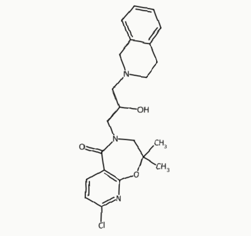 CC1(C)CN(CC(O)CN2CCc3ccccc3C2)C(=O)c2ccc(Cl)nc2O1